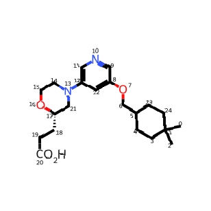 CC1(C)CCC(COc2cncc(N3CCO[C@@H](CCC(=O)O)C3)c2)CC1